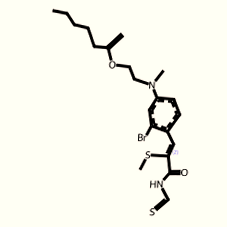 C=C(CCCCC)OCCN(C)c1ccc(/C=C(\SC)C(=O)NC=S)c(Br)c1